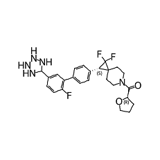 O=C([C@H]1CCCO1)N1CCC2(CC1)[C@H](c1ccc(-c3cc(C4NNNN4)ccc3F)cc1)C2(F)F